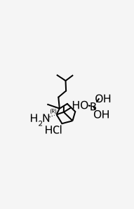 CC(C)CCC1(C)CCC2C[C@]1(N)C2(C)C.Cl.OB(O)O